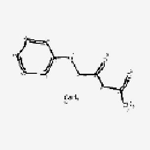 CC(=O)CC(=O)COc1ccccc1.[CaH2]